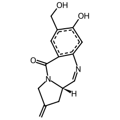 C=C1C[C@H]2C=Nc3cc(O)c(CO)cc3C(=O)N2C1